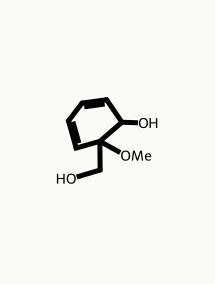 COC1(CO)C=CC=CC1O